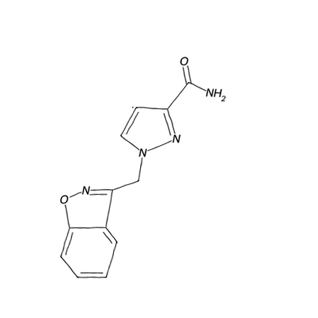 NC(=O)c1[c]cn(Cc2noc3ccccc23)n1